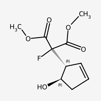 COC(=O)C(F)(C(=O)OC)[C@@H]1C=CC[C@H]1O